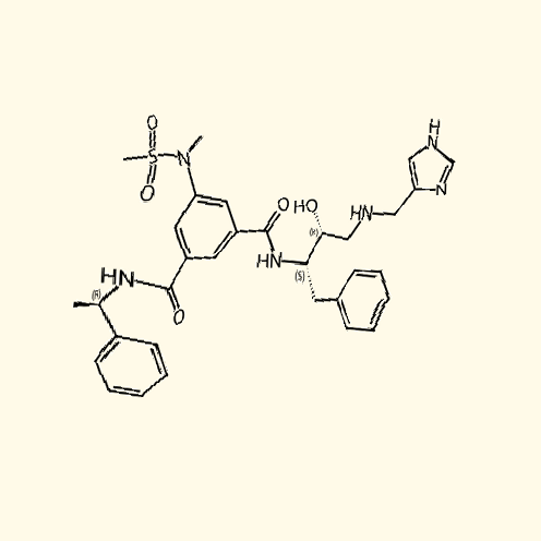 C[C@@H](NC(=O)c1cc(C(=O)N[C@@H](Cc2ccccc2)[C@H](O)CNCc2c[nH]cn2)cc(N(C)S(C)(=O)=O)c1)c1ccccc1